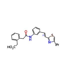 CC(C)c1csc(/C=C/c2cccc(NC(=O)Cc3ccccc3CC(=O)O)c2)n1